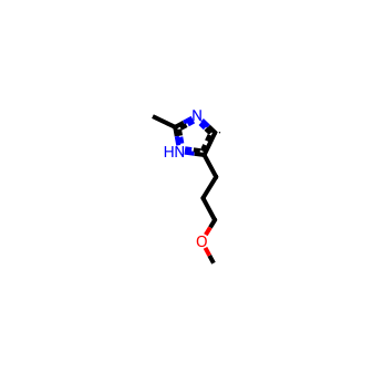 COCCCc1[c]nc(C)[nH]1